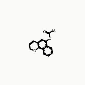 CCC(=O)Oc1cc2c(c3ccccc13)OCC=C2